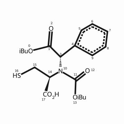 CC(C)COC(=O)[C@H](c1ccccc1)N(C(=O)OCC(C)C)[C@H](CS)C(=O)O